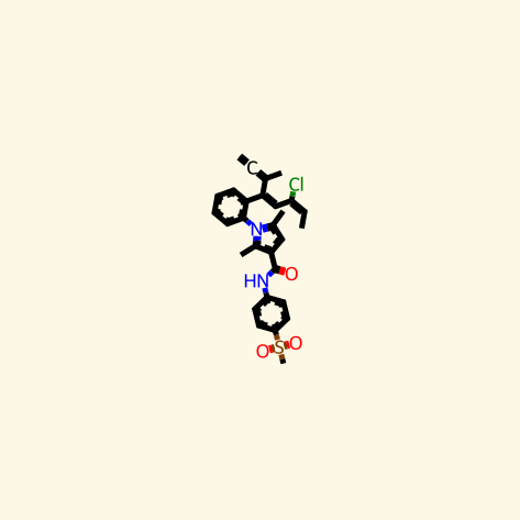 C=C=C(C)/C(=C\C(Cl)=C/C)c1ccccc1-n1c(C)cc(C(=O)Nc2ccc(S(C)(=O)=O)cc2)c1C